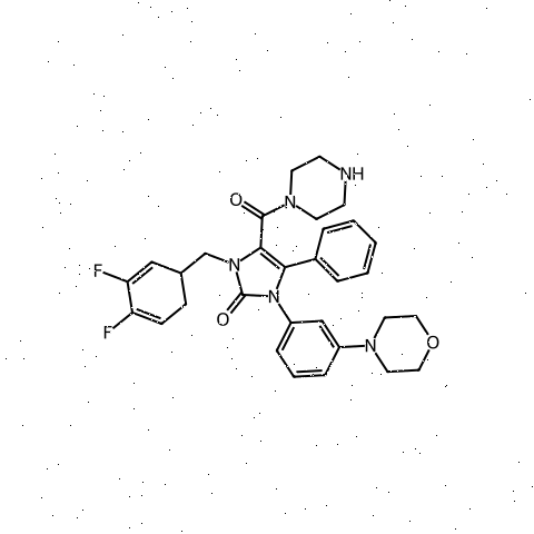 O=C(c1c(-c2ccccc2)n(-c2cccc(N3CCOCC3)c2)c(=O)n1CC1C=C(F)C(F)=CC1)N1CCNCC1